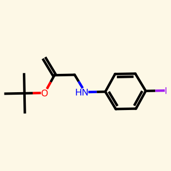 C=C(CNc1ccc(I)cc1)OC(C)(C)C